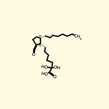 CCCCCCCC[C@H]1CCC(=C=O)[C@H]1CCCCCC(O)(O)C(=O)O